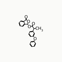 CC(C(=O)OC1OC(=O)c2ccccc21)c1cccc(Oc2ccccc2)c1